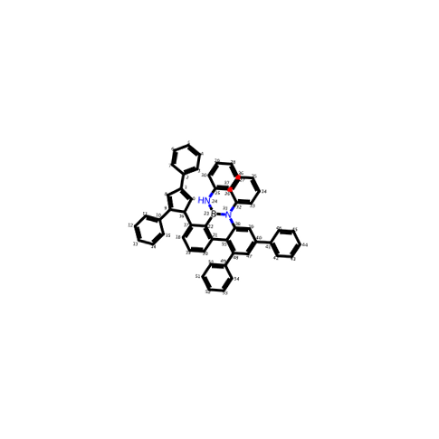 C1=C(c2ccccc2)C=C(c2ccccc2)C1c1cccc2c1B(Nc1ccccc1)N(c1ccccc1)c1cc(-c3ccccc3)cc(-c3ccccc3)c1-2